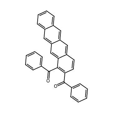 O=C(c1ccccc1)c1ccc2cc3cc4ccccc4cc3cc2c1C(=O)c1ccccc1